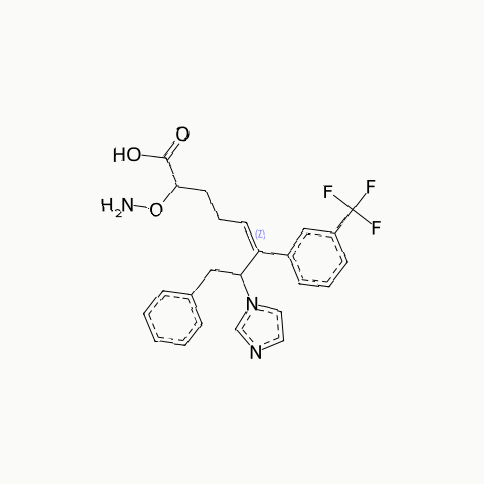 NOC(CC/C=C(/c1cccc(C(F)(F)F)c1)C(Cc1ccccc1)n1ccnc1)C(=O)O